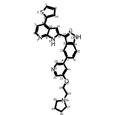 c1csc(-c2ccnc3[nH]c(-c4n[nH]c5ccc(-c6cncc(OCCN7CCCC7)c6)cc45)cc23)c1